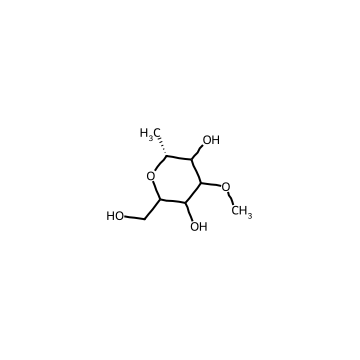 COC1C(O)C(CO)O[C@H](C)C1O